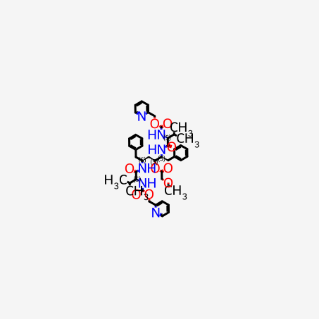 COCC(=O)O[C@@H](C[C@H](Cc1ccccc1)NC(=O)[C@@H](NC(=O)OCc1ccccn1)C(C)C)[C@H](Cc1ccccc1)NC(=O)[C@@H](NC(=O)OCc1ccccn1)C(C)C